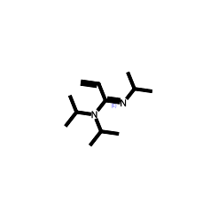 C=C/C(=N\C(C)C)N(C(C)C)C(C)C